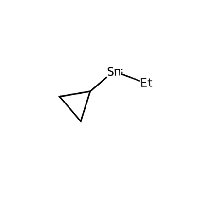 C[CH2][Sn][CH]1CC1